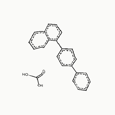 O=C(O)O.c1ccc(-c2ccc(-c3cccc4ccccc34)cc2)cc1